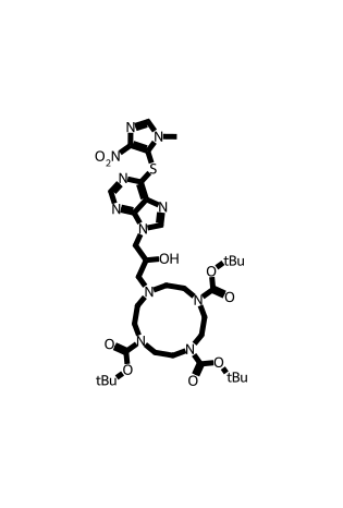 Cn1cnc([N+](=O)[O-])c1Sc1ncnc2c1ncn2CC(O)CN1CCN(C(=O)OC(C)(C)C)CCN(C(=O)OC(C)(C)C)CCN(C(=O)OC(C)(C)C)CC1